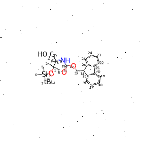 CC(C)(O[Si](C)(C)C(C)(C)C)[C@H](NC(=O)OCC1c2ccccc2-c2ccccc21)C(=O)O